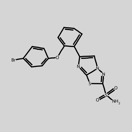 NS(=O)(=O)c1nn2cc(-c3ccccc3Oc3ccc(Br)cc3)nc2s1